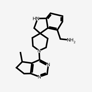 CC1CCc2ncnc(N3CCC4(CC3)CNc3cccc(CN)c34)c21